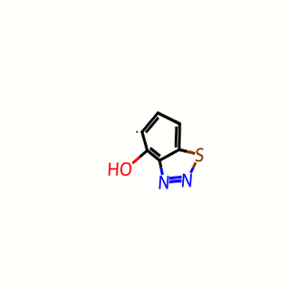 Oc1[c]ccc2snnc12